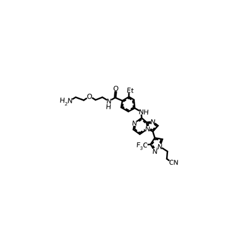 CCc1cc(Nc2nccn3c(-c4cn(CCC#N)nc4C(F)(F)F)cnc23)ccc1C(=O)NCCOCCN